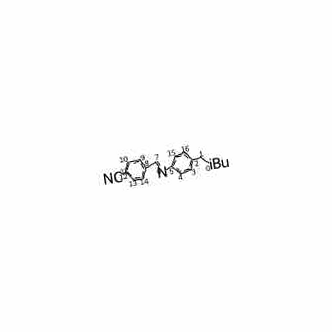 CCC(C)Cc1ccc(N=Cc2ccc(C#N)cc2)cc1